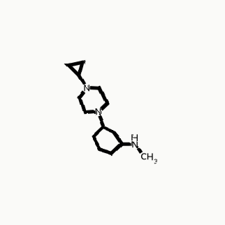 CNC1CCCC(N2CCN(C3CC3)CC2)C1